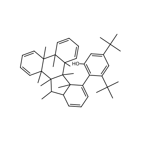 CC1C2C=CC=C(c3c(O)cc(C(C)(C)C)cc3C(C)(C)C)C2(C)C2(C)C3(C)C=CC=CC3(C)C3(C)C=CC=CC3(C)C12C